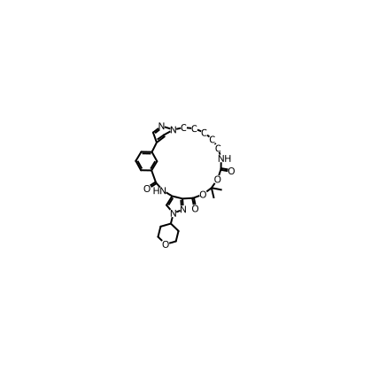 CC1(C)OC(=O)NCCCCCn2cc(cn2)-c2cccc(c2)C(=O)Nc2cn(C3CCOCC3)nc2C(=O)O1